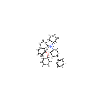 c1ccc(-c2ccc(-n3c4ccccc4c4ccc5ccc6c7ccccc7oc6c5c43)cc2)cc1